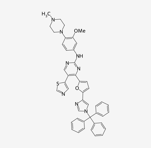 COc1cc(Nc2ncc(-c3cncs3)c(-c3ccc(-c4cn(C(c5ccccc5)(c5ccccc5)c5ccccc5)cn4)o3)n2)ccc1N1CCN(C)CC1